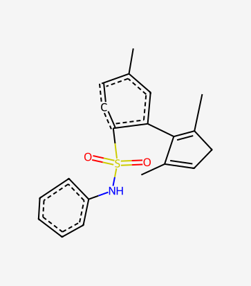 CC1=CCC(C)=C1c1cc(C)ccc1S(=O)(=O)Nc1ccccc1